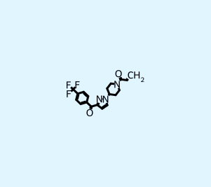 C=CC(=O)N1CCC(n2ccc(C(=O)c3ccc(C(F)(F)F)cc3)n2)CC1